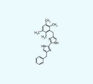 Cc1cc(C)c(C)c(Cc2c[nH]c(-c3nc(Cc4ccccc4)c[nH]3)n2)c1C